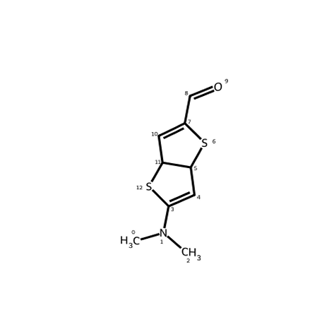 CN(C)C1=CC2SC(C=O)=CC2S1